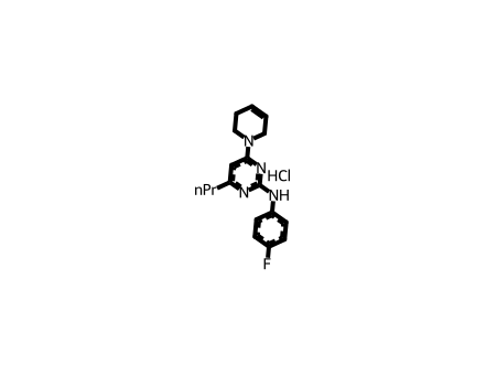 CCCc1cc(N2CC=CCC2)nc(Nc2ccc(F)cc2)n1.Cl